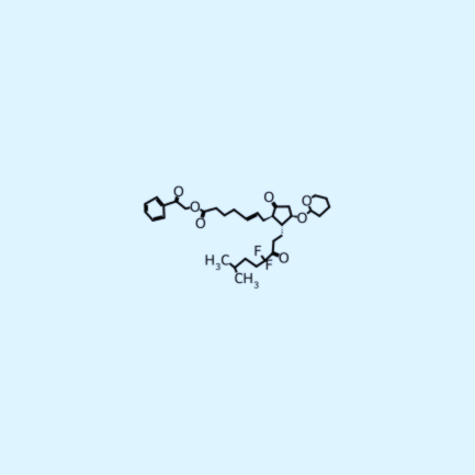 CC(C)CCC(F)(F)C(=O)CC[C@H]1[C@H](OC2CCCCO2)CC(=O)[C@@H]1CC=CCCCC(=O)OCC(=O)c1ccccc1